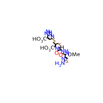 CON=C(C(=O)NC1C(=O)N2C(C(=O)O)=C(CSc3cc(C(=O)O)c4nnnn4n3)CS[C@@H]12)c1csc(N)n1